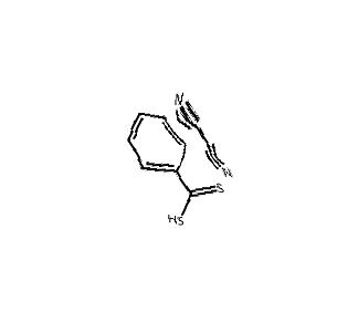 N#CC#N.S=C(S)c1ccccc1